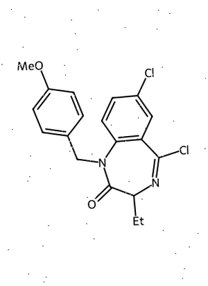 CCC1N=C(Cl)c2cc(Cl)ccc2N(Cc2ccc(OC)cc2)C1=O